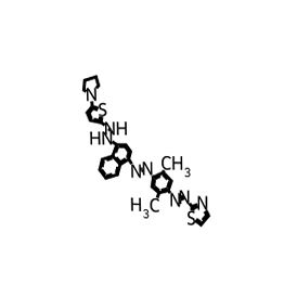 Cc1cc(/N=N/c2ccc(NNc3ccc(N4CCCC4)s3)c3ccccc23)c(C)cc1/N=N/c1nccs1